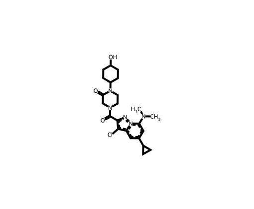 CN(C)c1cc(C2CC2)cc2c(Cl)c(C(=O)N3CCN(C4CCC(O)CC4)C(=O)C3)nn12